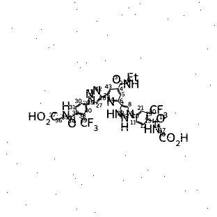 CCNC(=O)c1cc(C2=CN(c3ccc(C(=O)NCC(=O)O)c(C(F)(F)F)c3)NN2)nc(-c2cn(-c3ccc(C(=O)NCC(=O)O)c(C(F)(F)F)c3)nn2)c1